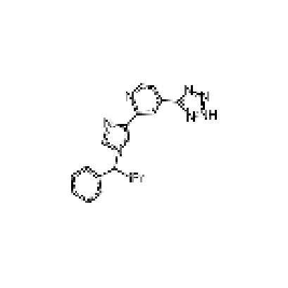 CC(C)C(c1ccccc1)n1cnc(-c2cc(-c3nn[nH]n3)ccn2)c1